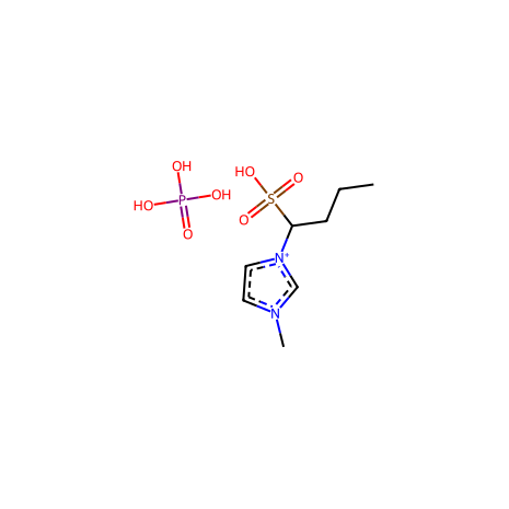 CCCC([n+]1ccn(C)c1)S(=O)(=O)O.O=P(O)(O)O